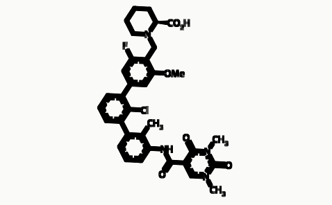 COc1cc(-c2cccc(-c3cccc(NC(=O)c4cn(C)c(=O)n(C)c4=O)c3C)c2Cl)cc(F)c1CN1CCCC[C@H]1C(=O)O